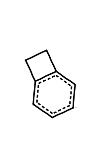 [c]1ccc2c(c1)CC2